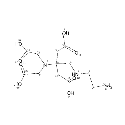 NCCNCC(CC(=O)O)(CC(=O)O)N(CC(=O)O)CC(=O)O